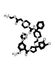 CCOC(=O)CN1CCN(C(=O)NC2(c3ccccc3)CCN(CC[C@]3(c4ccc(Cl)c(Cl)c4)CCN(C(=O)c4cc(-n5cnnn5)ccc4OC)C3)CC2)CC1